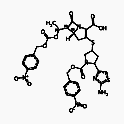 C[C@@H](OC(=O)OCc1ccc([N+](=O)[O-])cc1)[C@H]1C(=O)N2C(C(=O)O)=C(SC3CC(c4csc(N)n4)N(C(=O)OCc4ccc([N+](=O)[O-])cc4)C3)C[C@H]12